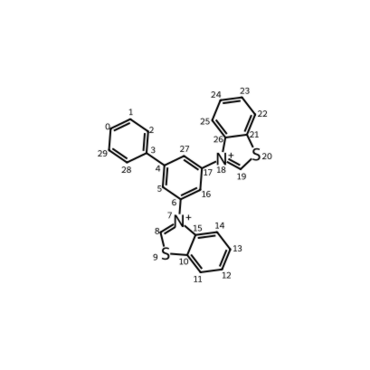 c1ccc(-c2cc(-[n+]3csc4ccccc43)cc(-[n+]3csc4ccccc43)c2)cc1